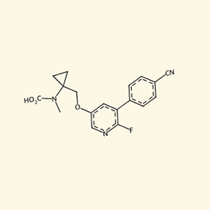 CN(C(=O)O)C1(COc2cnc(F)c(-c3ccc(C#N)cc3)c2)CC1